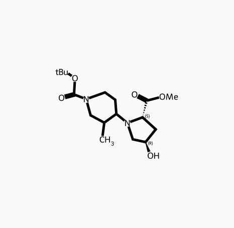 COC(=O)[C@@H]1C[C@@H](O)CN1C1CCN(C(=O)OC(C)(C)C)CC1C